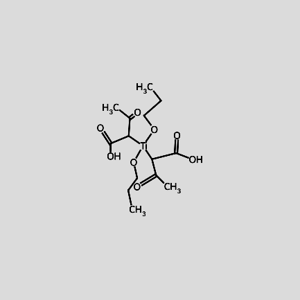 CCC[O][Ti]([O]CCC)([CH](C(C)=O)C(=O)O)[CH](C(C)=O)C(=O)O